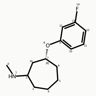 CNC1CCCC[C@@H](Oc2cccc(F)c2)C1